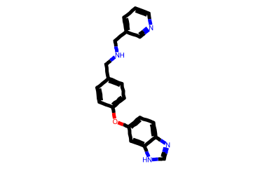 c1cncc(CNCc2ccc(Oc3ccc4nc[nH]c4c3)cc2)c1